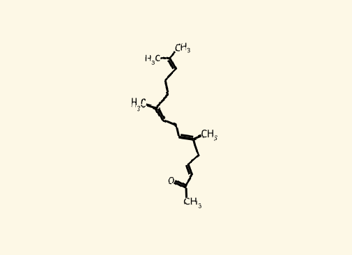 CC(=O)C=CCC(C)=CCC=C(C)CCC=C(C)C